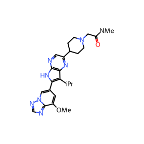 CNC(=O)CN1CCC(c2cnc3[nH]c(-c4cc(OC)c5ncnn5c4)c(C(C)C)c3n2)CC1